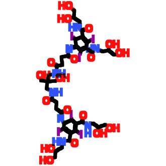 O=C(CCC(=O)NCC(CO)(CO)CNC(=O)CCC(=O)N=C1C(I)=C(C(=O)NCC(O)CO)C(I)=C(C(=O)NCC(O)CO)C1I)N=C1C(I)=C(C(=O)NCC(O)CO)C(I)=C(C(=O)NCC(O)CO)C1I